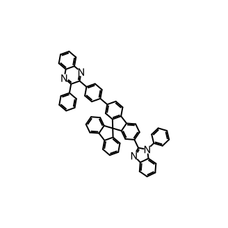 c1ccc(-c2nc3ccccc3nc2-c2ccc(-c3ccc4c(c3)C3(c5ccccc5-c5ccccc53)c3cc(-c5nc6ccccc6n5-c5ccccc5)ccc3-4)cc2)cc1